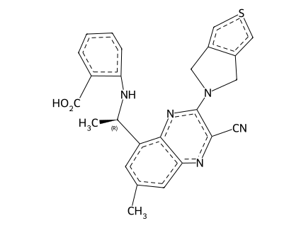 Cc1cc([C@@H](C)Nc2ccccc2C(=O)O)c2nc(N3Cc4cscc4C3)c(C#N)nc2c1